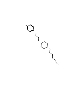 CCCCCC[C@H]1CC[C@H](CCCOc2ccc(F)cc2)CC1